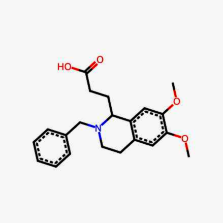 COc1cc2c(cc1OC)C(CCC(=O)O)N(Cc1ccccc1)CC2